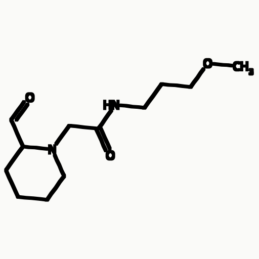 COCCCNC(=O)CN1CCCCC1C=O